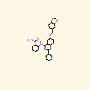 NC(=O)c1ccccc1Nc1nc(-c2cccnc2)nc2ccc(OCc3ccc4c(c3)OCO4)cc12